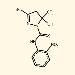 CC(C)C1=NN(C(=S)Nc2ccccc2[N+](=O)[O-])C(O)(C(F)(F)F)C1